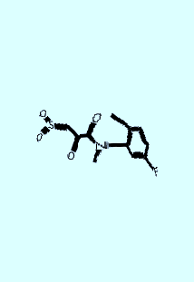 Cc1ccc(F)cc1N(C)C(=O)C(=O)C=S(=O)=O